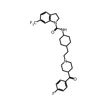 O=C(c1ccc(F)cc1)C1CCN(CCC2CCC(NC(=O)N3CCc4ccc(C(F)(F)F)cc43)CC2)CC1